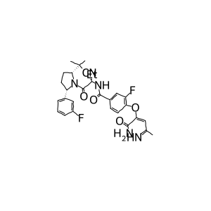 CC[C@@H](NC(=O)c1ccc(O/C(=C/C(C)=N)C(N)=O)c(F)c1)C(=O)N1[C@H](c2cccc(F)c2)CC[C@@H]1C(C)(C)C#N